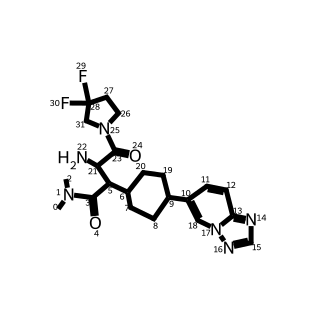 CN(C)C(=O)C(C1CCC(c2ccc3ncnn3c2)CC1)C(N)C(=O)N1CCC(F)(F)C1